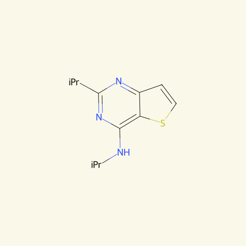 CC(C)Nc1nc(C(C)C)nc2ccsc12